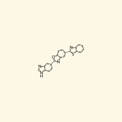 c1ccc2sc(-c3ccc4oc(-c5ccc6[nH]cnc6c5)nc4c3)nc2c1